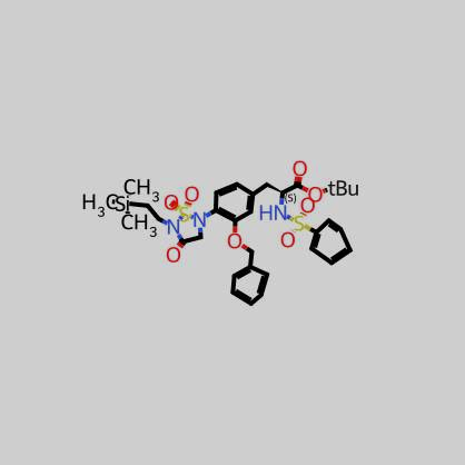 CC(C)(C)OC(=O)[C@H](Cc1ccc(N2CC(=O)N(CC[Si](C)(C)C)S2(=O)=O)c(OCc2ccccc2)c1)NS(=O)(=O)c1ccccc1